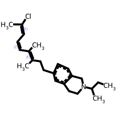 CCC(C)N1CCc2cc(CC/C(C)=C(C)/C=C\C=C(/C)Cl)ccc2C1